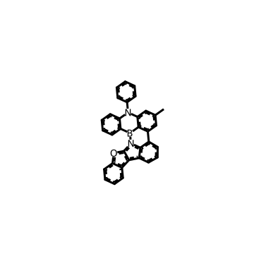 Cc1cc2c3c(c1)N(c1ccccc1)c1ccccc1B3n1c3oc4ccccc4c3c3cccc-2c31